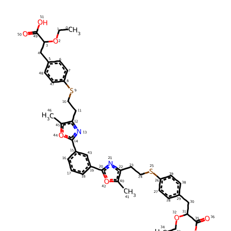 CCOC(Cc1ccc(SCCc2nc(-c3cccc(-c4nc(CCSc5ccc(CC(OCC)C(=O)O)cc5)c(C)o4)c3)oc2C)cc1)C(=O)O